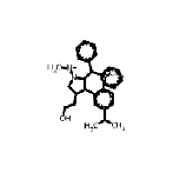 CNN1CC(CCO)C(c2cc(C(C)C)ccc2OC)C1C(c1ccccc1)c1ccccc1